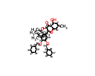 Cc1cc(O)c2c(=O)c(O[Si](C)(C)C(C)(C)C)c(-c3ccc(OCc4ccccc4)c(OCc4ccccc4)c3)oc2c1